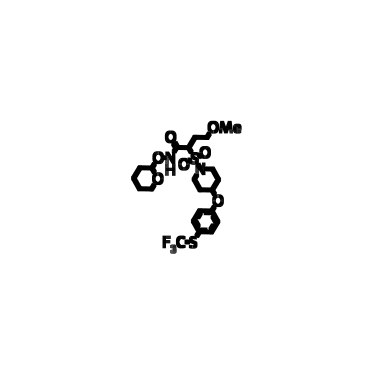 COCCC(C(=O)NOC1CCCCO1)S(=O)(=O)N1CCC(Oc2ccc(SC(F)(F)F)cc2)CC1